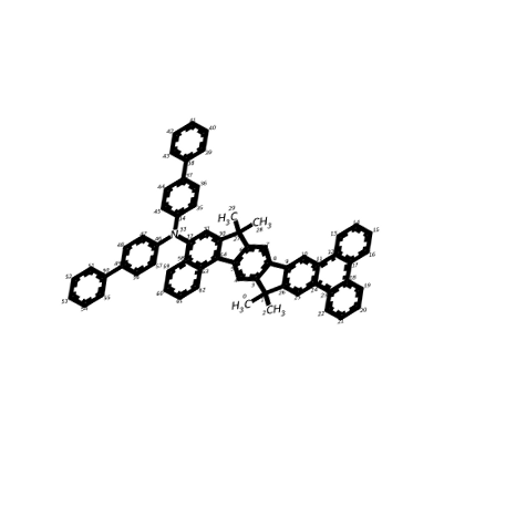 CC1(C)c2cc3c(cc2-c2cc4c5ccccc5c5ccccc5c4cc21)C(C)(C)c1cc(N(c2ccc(-c4ccccc4)cc2)c2ccc(-c4ccccc4)cc2)c2ccccc2c1-3